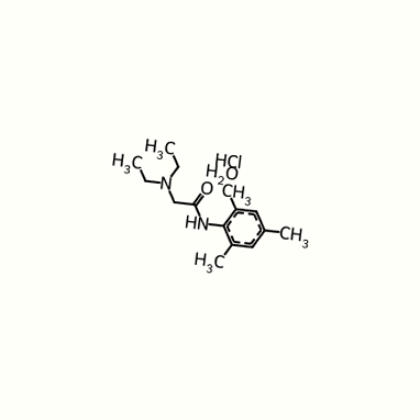 CCN(CC)CC(=O)Nc1c(C)cc(C)cc1C.Cl.O